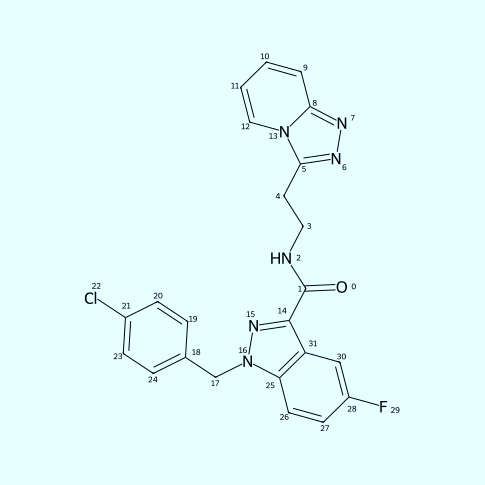 O=C(NCCc1nnc2ccccn12)c1nn(Cc2ccc(Cl)cc2)c2ccc(F)cc12